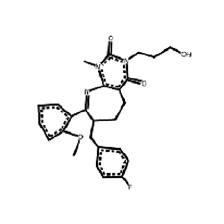 COc1ccccc1C1=Nc2c(c(=O)n(CCCO)c(=O)n2C)CCC1Cc1ccc(F)cc1